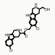 O=C(OCc1cc2[nH]c3c(c2cc1Cl)CC(CO)NC3)C1Cc2c([nH]c3ccc(Cl)cc23)CN1